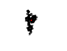 CCOC(=O)c1csc(C#Cc2ccc(OC)cc2)c1C12CC3CC(CC(C3)C1)C2